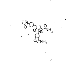 NC(=O)c1nn(-c2ccc3onc(N)c3c2)c2c1CCN(c1ccc(N3CCCCC3=O)cc1)C2=O